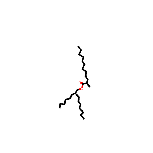 CCCCCCCCCCC(C)C(=O)OCC(CCCCCC)CCCCCCC